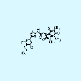 Cn1c(=O)c2c(n(C)c1=O)n(C)c(=O)n2CC(=O)Nc1nc(-c2cc(F)c(OCC(C)(C)C)c(Cl)c2)cs1